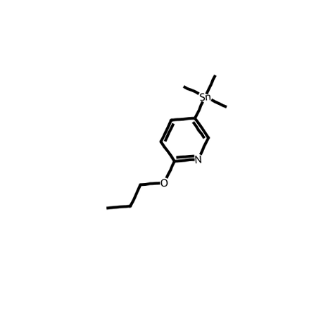 CCCOc1cc[c]([Sn]([CH3])([CH3])[CH3])cn1